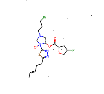 CC=CCCc1nnc([N+]2([O-])CN(CCCBr)CC2OC(=O)C2CC(Br)CO2)s1